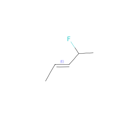 C/C=C/C(C)F